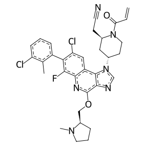 C=CC(=O)N1CC[C@H](n2cnc3c(OC[C@H]4CCCN4C)nc4c(F)c(-c5cccc(Cl)c5C)c(Cl)cc4c32)C[C@H]1CC#N